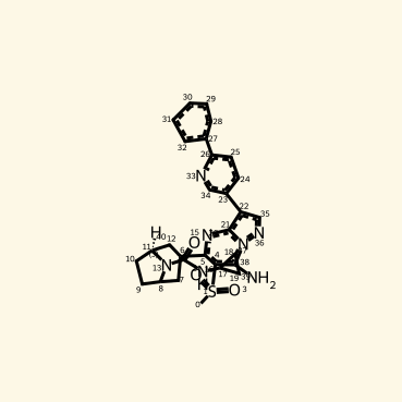 CS(=O)(=O)c1c(C2CC3CC[C@@H](C2)N3C(=O)NC2CC2)nc2c(-c3ccc(-c4ccccc4)nc3)cnn2c1N